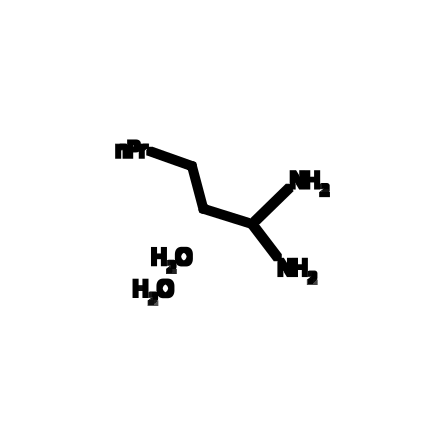 CCCCCC(N)N.O.O